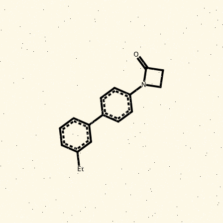 CCc1cccc(-c2ccc(N3CCC3=O)cc2)c1